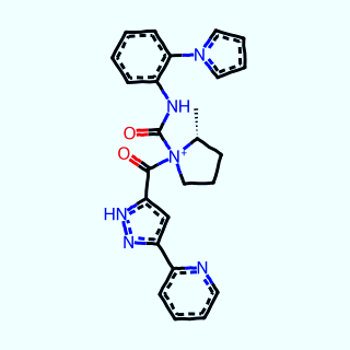 C[C@@H]1CCC[N+]1(C(=O)Nc1ccccc1-n1cccc1)C(=O)c1cc(-c2ccccn2)n[nH]1